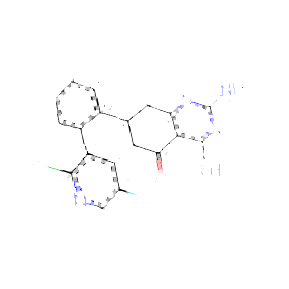 Cc1nc(N)nc2c1C(=O)CC(c1ccccc1-c1cc(F)cnc1Cl)C2